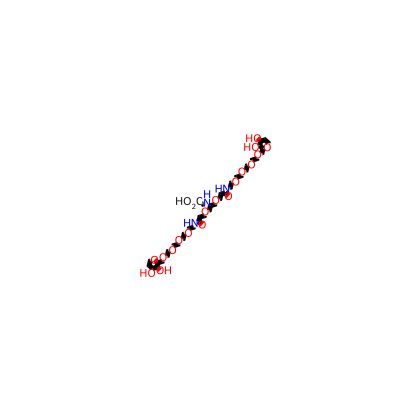 O=C(O)CNC(COCCC(=O)NCCOCCOCCOCCOCC1OCCC(O)C1O)COCCC(=O)NCCOCCOCCOCCOCC1OCCC(O)C1O